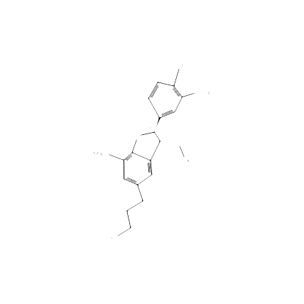 COc1cc([C@@H]2Oc3c(OC)cc(CCCO)cc3[C@H]2CO)ccc1O